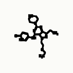 CCOCCn1nc(CC)c2nc(N3CCNCC3)nc(Nc3ccc(=O)[nH]c3)c21